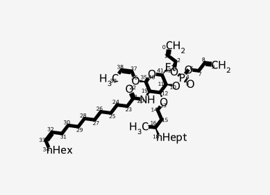 C=CCOP(=O)(OCC=C)O[C@H]1[C@H](OCC[C@H](C)CCCCCCC)[C@@H](NC(=O)CCCCCCCCC/C=C\CCCCCC)[C@@H](O/C=C\C)O[C@@H]1CC